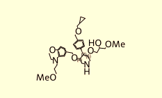 COCCCN1CCOc2ccc(CO[C@H]3CNC[C@@H](OCC(O)COC)[C@@H]3c3ccc(COCC4CC4)cc3)cc21